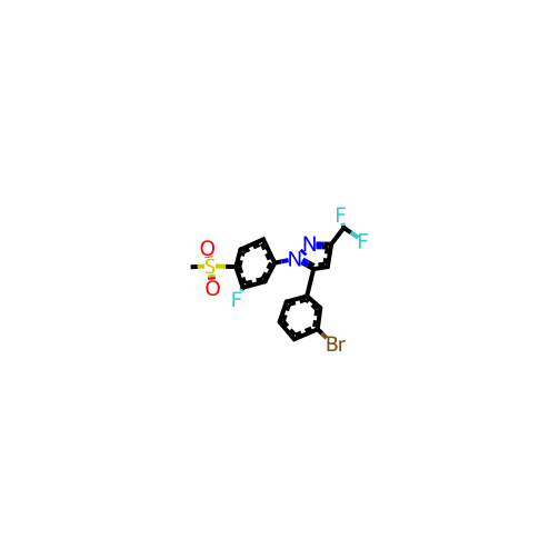 CS(=O)(=O)c1ccc(-n2nc(C(F)F)cc2-c2cccc(Br)c2)cc1F